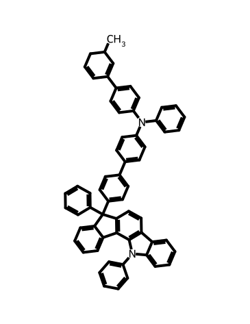 CC1C=C(c2ccc(N(c3ccccc3)c3ccc(-c4ccc(C5(c6ccccc6)c6ccccc6-c6c5ccc5c7ccccc7n(-c7ccccc7)c65)cc4)cc3)cc2)C=CC1